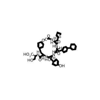 O=C1COc2ccc(cc2)C[C@@H](C(=O)N[C@@H](CO)C(=O)O)NC(=O)[C@H](Cc2ccc(O)cc2)NC(=O)[C@@H](Cc2ccc(-c3ccccc3)cc2)NC(=O)[C@H](Cc2cccs2)N1